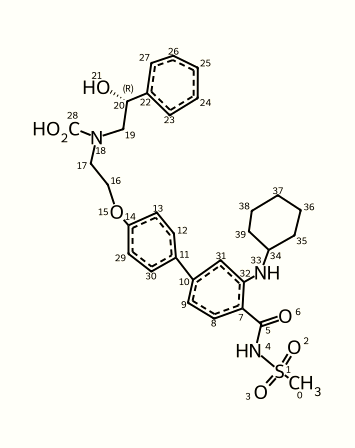 CS(=O)(=O)NC(=O)c1ccc(-c2ccc(OCCN(C[C@H](O)c3ccccc3)C(=O)O)cc2)cc1NC1CCCCC1